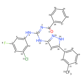 O=C(/N=C(/Nc1cc(F)cc(Cl)c1)Nc1cc(-c2cccc(C(F)(F)F)c2)[nH]n1)c1ccccc1